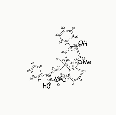 COc1cccc(OC)c1C(C)(c1ccc(O)c(-c2ccccc2)c1)c1ccc(O)c(-c2ccccc2)c1